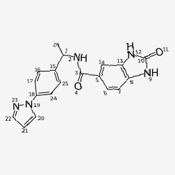 CC(NC(=O)c1ccc2[nH]c(=O)[nH]c2c1)c1ccc(-n2cccn2)cc1